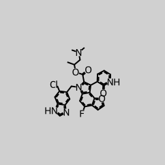 CC(CN(C)C)OC(=O)c1c(-c2ccc[nH]c2=O)c2c3occc3c(F)cc2n1Cc1cc2nc[nH]c2cc1Cl